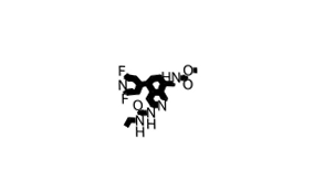 CCNC(=O)Nc1cc2c(-c3cc(F)nc(F)c3)ccc(CNC(=O)OC)c2cn1